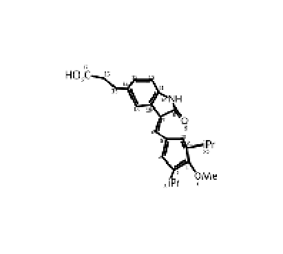 COc1c(C(C)C)cc(C=C2C(=O)Nc3ccc(CCC(=O)O)cc32)cc1C(C)C